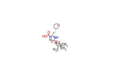 CC(COC(=O)NC(CC[C@@H]1CCCOC1)NC(=O)O)[Si](C)(C)C